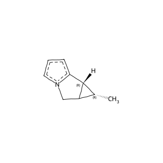 C[C@@H]1C2Cn3cccc3[C@@H]21